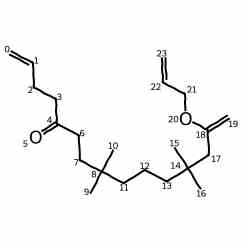 C=CCCC(=O)CCC(C)(C)CCCC(C)(C)CC(=C)OCC=C